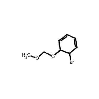 COCOC1C=CC=C[C]1Br